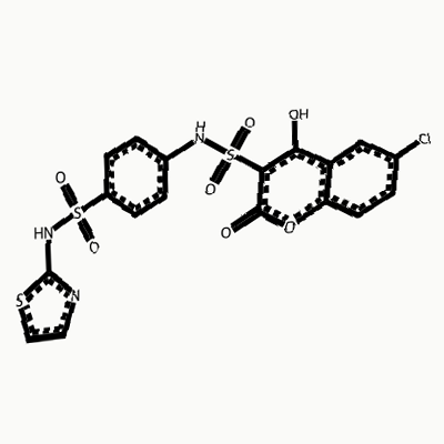 O=c1oc2ccc(Cl)cc2c(O)c1S(=O)(=O)Nc1ccc(S(=O)(=O)Nc2nccs2)cc1